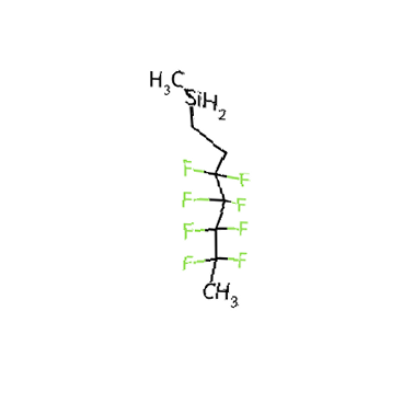 C[SiH2]CCC(F)(F)C(F)(F)C(F)(F)C(C)(F)F